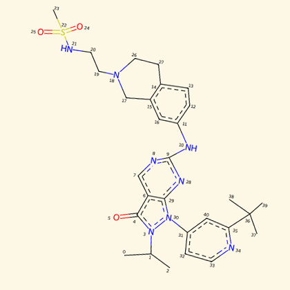 CC(C)n1c(=O)c2cnc(Nc3ccc4c(c3)CN(CCNS(C)(=O)=O)CC4)nc2n1-c1ccnc(C(C)(C)C)c1